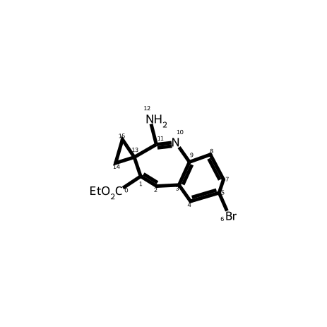 CCOC(=O)C1=Cc2cc(Br)ccc2N=C(N)C12CC2